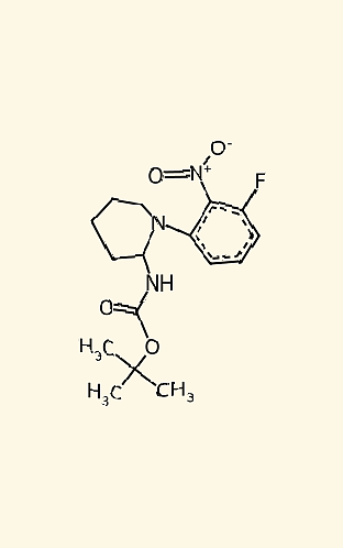 CC(C)(C)OC(=O)NC1CCCCN1c1cccc(F)c1[N+](=O)[O-]